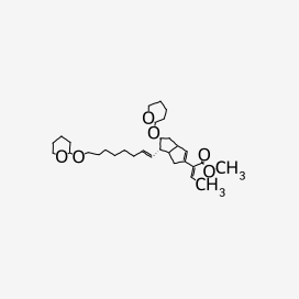 CC=C(C(=O)OC)C1=CC2C[C@H](OC3CCCCO3)[C@@H](C=CCCCCCCOC3CCCCO3)C2C1